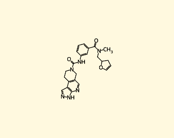 CN(CC1CC=CO1)C(=O)c1cccc(NC(=O)N2CCc3c(cnc4[nH]ncc34)C2)c1